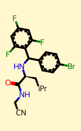 CC(C)C[C@H](NC(c1ccc(Br)cc1)c1c(F)cc(F)cc1F)C(=O)NCC#N